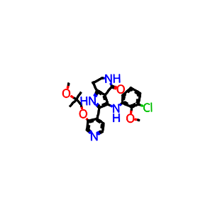 COc1c(Cl)cccc1Nc1c(-c2ccncc2OCC(C)(C)OC)[nH]c2c1C(=O)NCC2